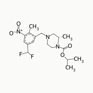 Cc1c(CN2CCN(C(=O)OC(C)C)[C@@H](C)C2)cc(C(F)F)cc1[N+](=O)[O-]